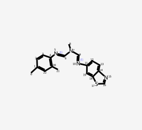 Cc1ccc(/N=C/N(C)/C=N/c2ccc3ncsc3c2)c(C)c1